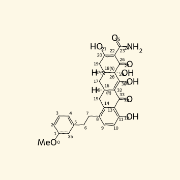 COc1cccc(CCc2ccc(O)c3c2C[C@H]2C[C@H]4CC(O)=C(C(N)=O)C(=O)[C@@]4(O)C(O)=C2C3=O)c1